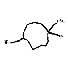 CCCCC1(F)CCC(CCC)CC1